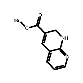 CC(C)(C)OC(=O)C1=Cc2cccnc2NC1